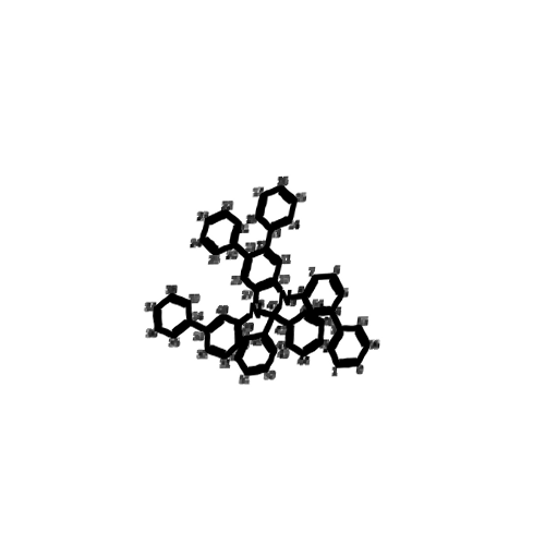 c1ccc(-c2cccc(N3c4cc(-c5ccccc5)c(-c5ccccc5)cc4N(c4cccc(-c5ccccc5)c4)C3(c3ccccc3)c3ccccc3)c2)cc1